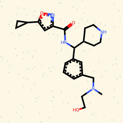 CN(CCO)Cc1cccc(C(NC(=O)c2cc(C3CC3)on2)C2CCNCC2)c1